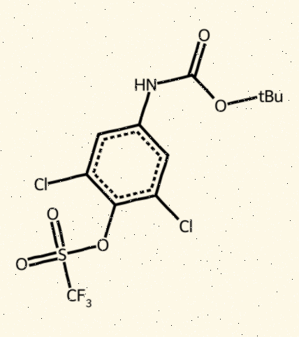 CC(C)(C)OC(=O)Nc1cc(Cl)c(OS(=O)(=O)C(F)(F)F)c(Cl)c1